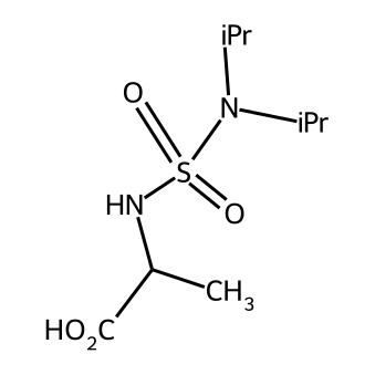 CC(NS(=O)(=O)N(C(C)C)C(C)C)C(=O)O